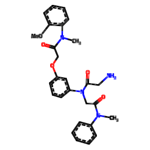 COc1ccccc1N(C)C(=O)COc1cccc(N(CC(=O)N(C)c2ccccc2)C(=O)CN)c1